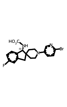 O=C(O)N[C@@H]1c2ccc(F)cc2CC12CCN(c1ccc(Br)nc1)CC2